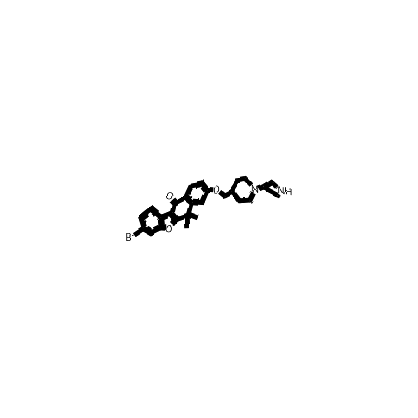 CC1(C)c2cc(OCC3CCN(C4CNC4)CC3)ccc2C(=O)c2c1oc1cc(Br)ccc21